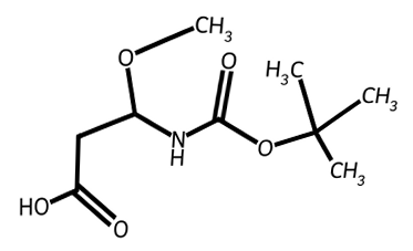 COC(CC(=O)O)NC(=O)OC(C)(C)C